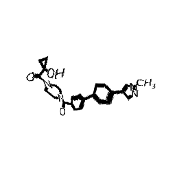 Cn1cc(-c2ccc(-c3ccc(C(=O)N4CCN(C(=O)C5(O)CC5)CC4)cc3)cc2)cn1